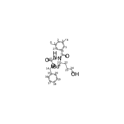 Cc1cc(C)cc(C(=O)N(NC(=O)OCc2ccccc2)C(CCCO)C(C)(C)C)c1